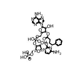 Nc1ccn([C@@H]2O[C@H](COP(=O)(O)O)[C@@H](OP(=O)(O)OC[C@H]3O[C@@H](n4cnc5c(N)ncnc54)[C@H](O)[C@@H]3OC(=O)CCCc3ccccc3)[C@H]2O)c(=O)n1